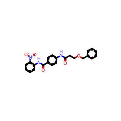 O=C(CCOCc1ccccc1)Nc1ccc(C(=O)Nc2ccccc2[N+](=O)[O-])cc1